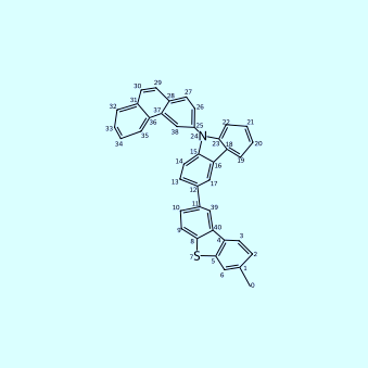 Cc1ccc2c(c1)sc1ccc(-c3ccc4c(c3)c3ccccc3n4-c3ccc4ccc5ccccc5c4c3)cc12